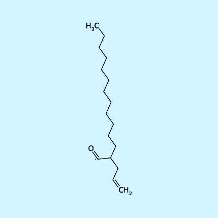 C=CCC([C]=O)CCCCCCCCCCCC